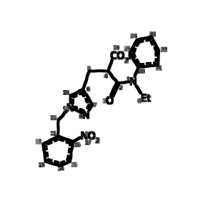 CCN(C(=O)C(Cc1cnn(Cc2ccccc2[N+](=O)[O-])c1)C(=O)O)c1ccccc1